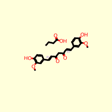 CCCC(=O)O.COc1cc(/C=C/C(=O)CC(=O)/C=C/c2ccc(O)c(OC)c2)ccc1O